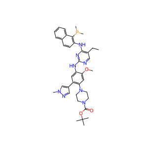 CCc1cnc(Nc2cc(-c3cnn(C)c3)c(N3CCN(C(=O)OC(C)(C)C)CC3)cc2OC)nc1Nc1ccc2ccccc2c1P(C)C